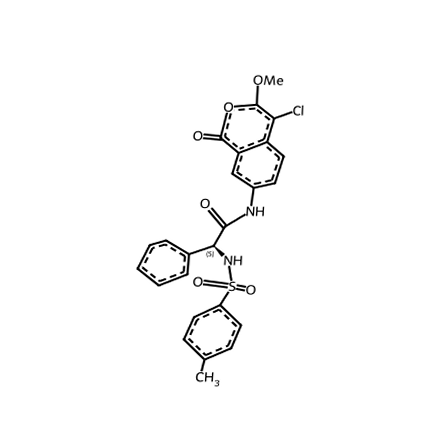 COc1oc(=O)c2cc(NC(=O)[C@@H](NS(=O)(=O)c3ccc(C)cc3)c3ccccc3)ccc2c1Cl